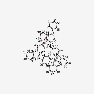 c1ccc(-c2ccc(N(c3ccc4c(c3)C(c3ccccc3)(c3ccccc3)c3ccccc3-4)c3cc4sc5ccccc5c4cc3-c3ccccc3)cc2)cc1